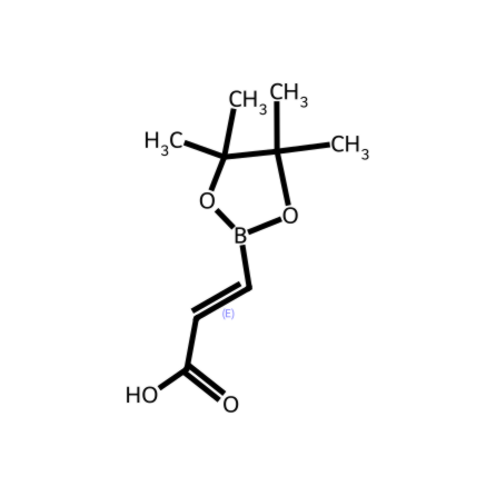 CC1(C)OB(/C=C/C(=O)O)OC1(C)C